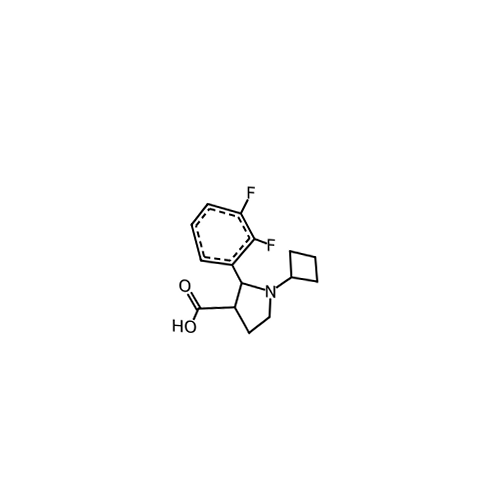 O=C(O)C1CCN(C2CCC2)C1c1cccc(F)c1F